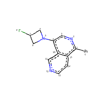 CC(C)c1ncc(N2CC(F)C2)c2cnccc12